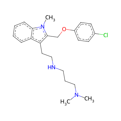 CN(C)CCCNCCc1c(COc2ccc(Cl)cc2)n(C)c2ccccc12